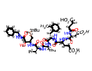 CCCCSCC(NC(=O)[C@H](CC(C)C)NC(=O)[C@@H](NC(=O)[C@H](Cc1ccccc1C)NC(=O)[C@H](CCC(=O)O)NC(=O)[C@H](CC(=O)O)NC(=O)CCC(=O)O)C(C)(C)C)C(O)C(=O)NCc1ccccc1